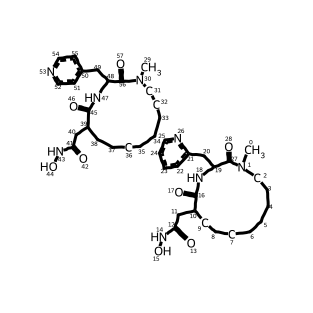 CN1CCCCCCCCC(CC(=O)NO)C(=O)NC(Cc2ccccn2)C1=O.CN1CCCCCCCCC(CC(=O)NO)C(=O)NC(Cc2ccncc2)C1=O